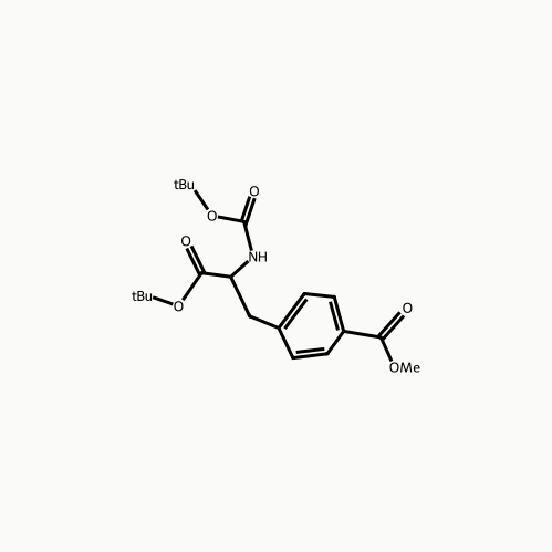 COC(=O)c1ccc(CC(NC(=O)OC(C)(C)C)C(=O)OC(C)(C)C)cc1